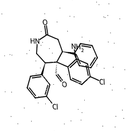 Nc1cc(Cl)ccc1[C@@]1(C=O)[C@@H](c2cccc(Cl)c2)CNC(=O)C[C@H]1c1ccccc1